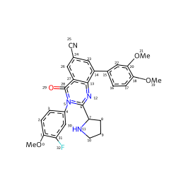 COc1ccc(-n2c(C3CCCN3)nc3c(-c4ccc(OC)c(OC)c4)cc(C#N)cc3c2=O)cc1F